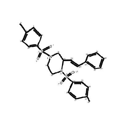 Cc1ccc(S(=O)(=O)N2CCN(S(=O)(=O)c3ccc(C)cc3)C(/C=C/c3ccccc3)C2)cc1